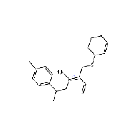 C=C/C(CSC1C=CCCC1)=C(/N)CC(C)c1ccc(C)cc1